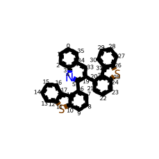 c1ccc2nc(-c3cccc4sc5ccccc5c34)c(-c3cccc4sc5ccccc5c34)cc2c1